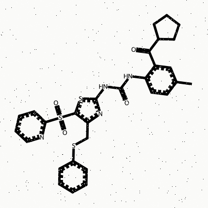 Cc1ccc(NC(=O)Nc2nc(CSc3ccccc3)c(S(=O)(=O)c3ccccn3)s2)c(C(=O)C2CCCC2)c1